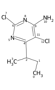 CCC(C)c1nc(Cl)nc(N)c1Cl